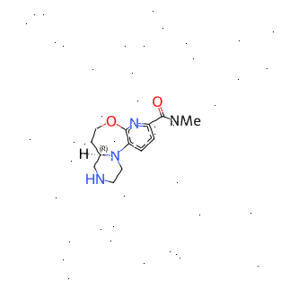 CNC(=O)c1ccc2c(n1)OCC[C@@H]1CNCCN21